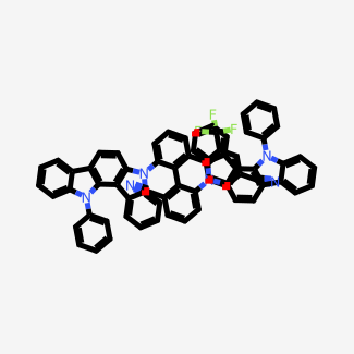 N#Cc1ccc(-c2cccc(-n3c4ccccc4c4c3ccc3c5ccccc5n(-c5ccccc5)c34)c2-c2c(C#N)cccc2-n2c3ccccc3c3c2ccc2c4ccccc4n(-c4ccccc4)c23)c(C(F)(F)F)c1